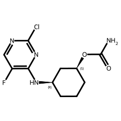 NC(=O)O[C@H]1CCC[C@@H](Nc2nc(Cl)ncc2F)C1